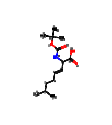 CC(C)CCC=CC(NC(=O)OC(C)(C)C)C(=O)O